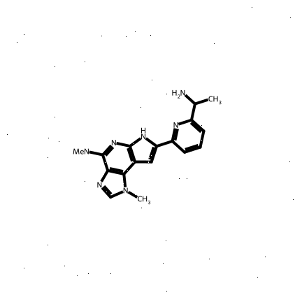 CNc1nc2[nH]c(-c3cccc(C(C)N)n3)cc2c2c1ncn2C